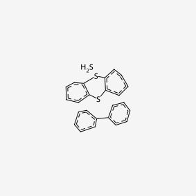 S.c1ccc(-c2ccccc2)cc1.c1ccc2c(c1)Sc1ccccc1S2